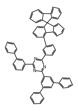 c1ccc(-c2cccc(-c3nc(-c4cc(-c5ccccc5)cc(-c5ccccc5)c4)nc(-c4cccc(-c5cccc6c5-c5ccccc5C65c6ccccc6-c6ccccc65)c4)n3)c2)cc1